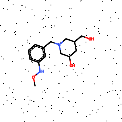 CONc1cccc(CN2CC(O)CC(CO)C2)c1